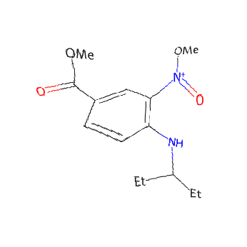 CCC(CC)Nc1ccc(C(=O)OC)cc1[N+](=O)OC